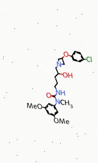 COc1cc(OC)cc(N(C)C(=O)NCCCC(O)CN2CC(Oc3ccc(Cl)cc3)C2)c1